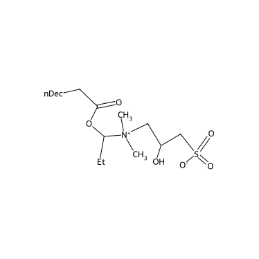 CCCCCCCCCCCC(=O)OC(CC)[N+](C)(C)CC(O)CS(=O)(=O)[O-]